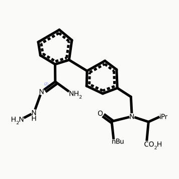 CCCCC(=O)N(Cc1ccc(-c2ccccc2/C(N)=N/NN)cc1)C(C(=O)O)C(C)C